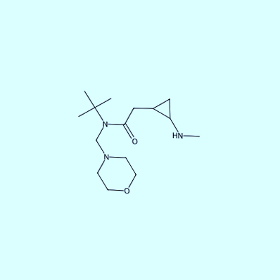 CNC1CC1CC(=O)N(CN1CCOCC1)C(C)(C)C